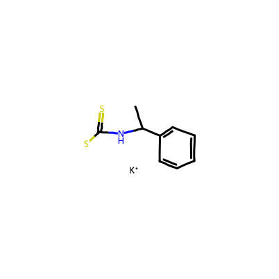 CC(NC(=S)[S-])c1ccccc1.[K+]